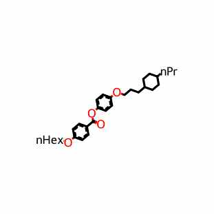 CCCCCCOc1ccc(C(=O)Oc2ccc(OCCCC3CCC(CCC)CC3)cc2)cc1